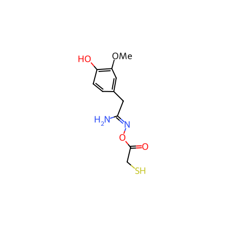 COc1cc(C/C(N)=N/OC(=O)CS)ccc1O